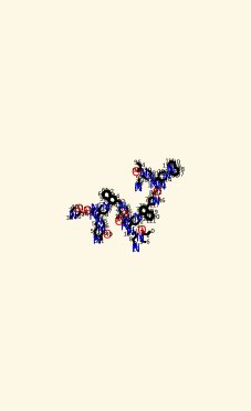 C=CC(=O)N(CC)C(CC#N)CN(C)c1nc(OC[C@H]2CN(Cc3cc(N4CCc5c(nc(OC[C@@H]6CN(C)CCO6)nc5N5CCN(C(=O)C=C)C(CC#N)C5)C4)c4ccccc4c3)CCO2)nc2c1CCN(c1ccc(C3C[C@@H](COc4nc5c(c(N6CCN(C(=O)C=C)[C@@H](CC#N)C6)n4)CCN(c4cccc6cccn46)C5)N(C)C3)c3ccccc13)C2